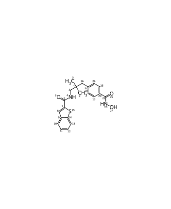 CC(C)(CNC(=O)c1cc2ccccc2s1)Cc1ccc(C(=O)NO)cc1